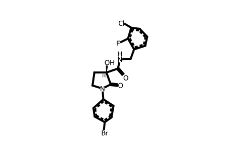 O=C(NCc1cccc(Cl)c1F)[C@@]1(O)CCN(c2ccc(Br)cc2)C1=O